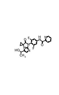 CC(O)c1cnc2n1C1(CC1)C(=O)N2c1c(F)cc(NC(=O)c2ccccn2)cc1F